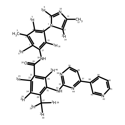 [2H]c1c(C)c([2H])c(-n2c([2H])nc(C)c2[2H])c([2H])c1NC(=O)c1c([2H])c([2H])c(C([2H])([2H])[2H])c(Nc2nccc(-c3cccnc3)n2)c1[2H]